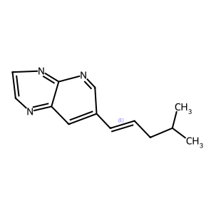 CC(C)C/C=C/c1cnc2nccnc2c1